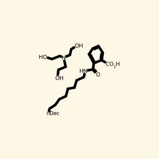 CCCCCCCCCCCCCCCCCCNC(=O)c1ccccc1C(=O)O.OCCN(CCO)CCO